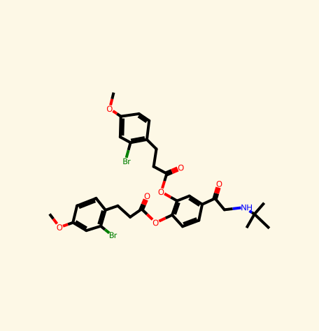 COc1ccc(CCC(=O)Oc2ccc(C(=O)CNC(C)(C)C)cc2OC(=O)CCc2ccc(OC)cc2Br)c(Br)c1